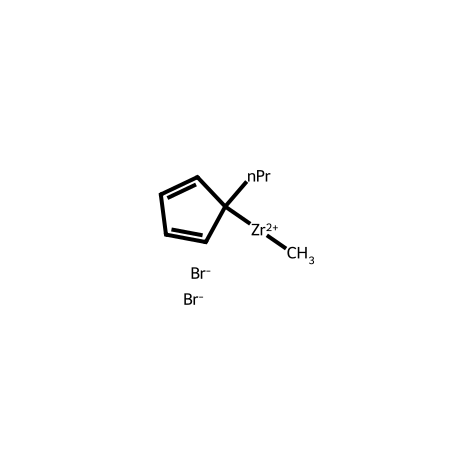 CCC[C]1([Zr+2][CH3])C=CC=C1.[Br-].[Br-]